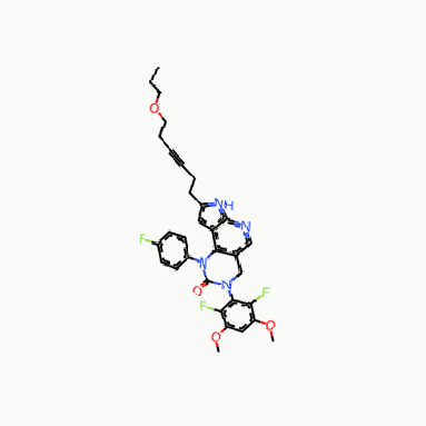 CCCOCCC#CCCc1cc2c3c(cnc2[nH]1)CN(c1c(F)c(OC)cc(OC)c1F)C(=O)N3c1ccc(F)cc1